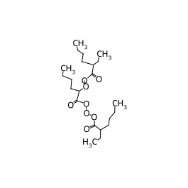 CCCCC(CC)C(=O)OOOC(=O)C(CCCC)OOC(=O)C(CC)CCCC